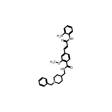 COc1cc(/C=C/C(=O)Nc2ccccc2N)ccc1C(=O)NCC1CCN(Cc2ccccc2)CC1